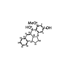 COc1cc(O)ccc1C(O)/C(=C/c1ccccc1)C1CCCC1